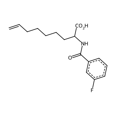 C=CCCCCCC(NC(=O)c1cccc(F)c1)C(=O)O